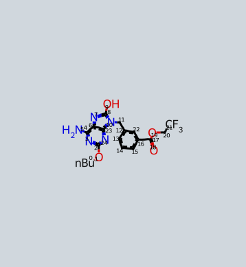 CCCCOc1nc(N)c2nc(O)n(Cc3cccc(C(=O)OCC(F)(F)F)c3)c2n1